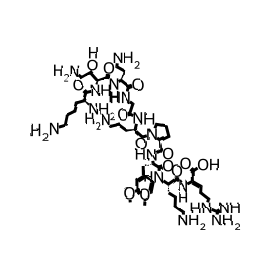 C=C(/C=C(\C=C/OC)C[C@H](NC(=O)[C@@H]1CCCN1C(=O)[C@@H](CCCN)NC(=O)CNC(=O)[C@H](CCN)NC(=O)[C@@H](NC(=O)[C@@H](N)CCCCN)[C@@H](O)CN)C(=O)N[C@@H](CCCCN)C(=O)N/C(=C\CCNC(=N)N)C(=O)O)OC